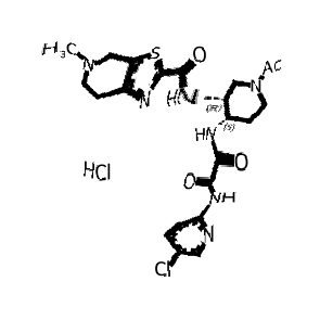 CC(=O)N1CC[C@H](NC(=O)C(=O)Nc2ccc(Cl)cn2)[C@H](NC(=O)c2nc3c(s2)CN(C)CC3)C1.Cl